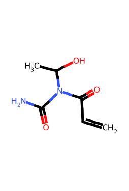 C=CC(=O)N(C(N)=O)C(C)O